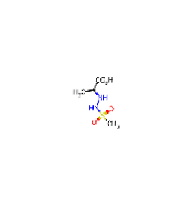 C[C@H](NNS(C)(=O)=O)C(=O)O